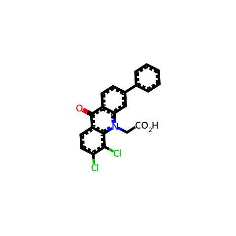 O=C(O)Cn1c2cc(-c3ccccc3)ccc2c(=O)c2ccc(Cl)c(Cl)c21